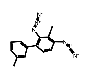 Cc1cccc(-c2ccc(N=[N+]=[N-])c(C)c2N=[N+]=[N-])c1